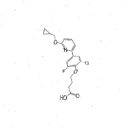 O=C(O)CCCOc1c(F)cc(-c2cccc(OCC3CC3)n2)cc1Cl